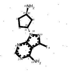 Nc1ncnc2c1c(I)nn2[C@@H]1CC[C@@H](N)C1